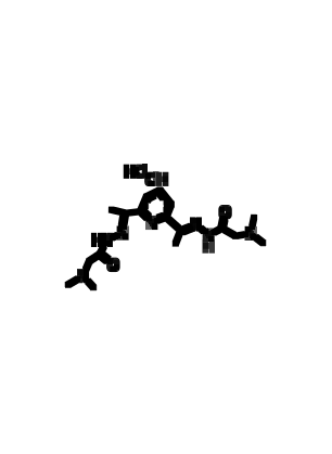 CC(=NNC(=O)CN(C)C)c1cccc(C(C)=NNC(=O)CN(C)C)n1.Cl.Cl